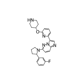 Fc1cccc(C2CCCN2c2ccc3ncc(-c4cccc(OC5CCNCC5)n4)n3n2)c1